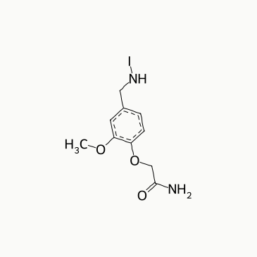 COc1cc(CNI)ccc1OCC(N)=O